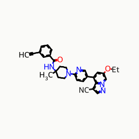 C#Cc1cccc(C(=O)NC2(C)CCN(c3ccc(-c4cc(OCC)cn5ncc(C#N)c45)cn3)CC2)c1